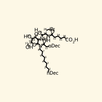 CCCCCCCCCCCCCCCCCCN(C(=O)CCCCCCCCCCC)[C@@H]1O[C@H](CO)[C@@H](O)[C@H](O)[C@H]1NC(=O)[C@H](CC(C)C)NC(=O)CCCCC(=O)O